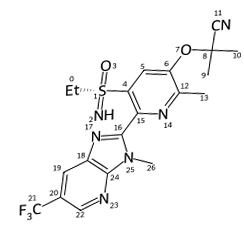 CC[S@](=N)(=O)c1cc(OC(C)(C)C#N)c(C)nc1-c1nc2cc(C(F)(F)F)cnc2n1C